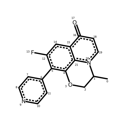 CC1COc2c(-c3ccncc3)c(F)cc3c(=O)ccn1c23